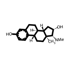 CN[C@H]1[C@@H](O)C[C@H]2[C@@H]3CCc4cc(O)ccc4[C@H]3CC[C@@]21C